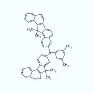 Cc1cc(C)cc(N(c2ccc3c(c2)C(C)(C)c2ccc4ccccc4c2-3)c2ccc3c4c(ccc3c2)-c2ccc3ccccc3c2C4(C)C)c1